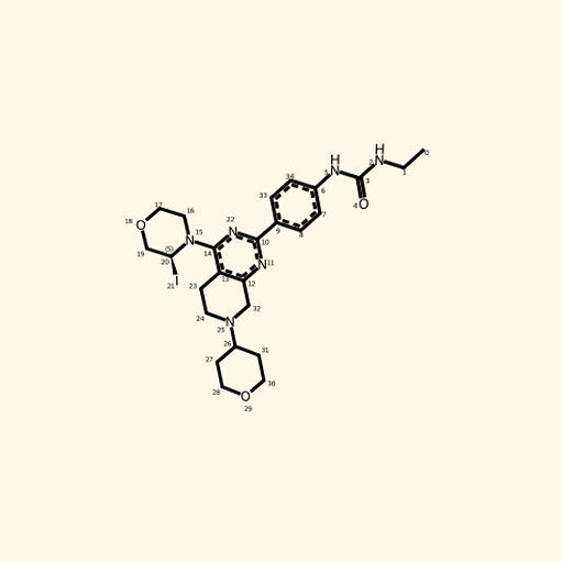 CCNC(=O)Nc1ccc(-c2nc3c(c(N4CCOC[C@@H]4I)n2)CCN(C2CCOCC2)C3)cc1